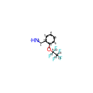 [NH]Cc1ccccc1OC(F)(F)C(F)(F)F